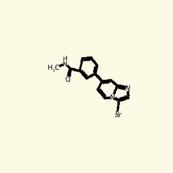 CNC(=O)c1cccc(-c2ccn3c(Br)cnc3c2)c1